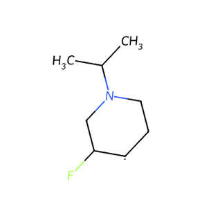 CC(C)N1CC[CH]C(F)C1